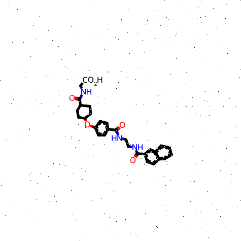 O=C(O)CNC(=O)C1CCC(Oc2ccc(C(=O)NCCNC(=O)c3ccc4ccccc4c3)cc2)CC1